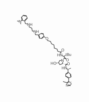 Cc1ncsc1-c1ccc([C@H](C)NC(=O)[C@@H]2C[C@@H](O)CN2C(=O)C(NC(=O)CCCCCCCOc2ccc(CNCCCNCc3ccccc3N(C)C)cc2)C(C)(C)C)cc1